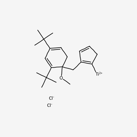 COC1(CC2=[C]([Ti+2])CC=C2)CC=C(C(C)(C)C)C=C1C(C)(C)C.[Cl-].[Cl-]